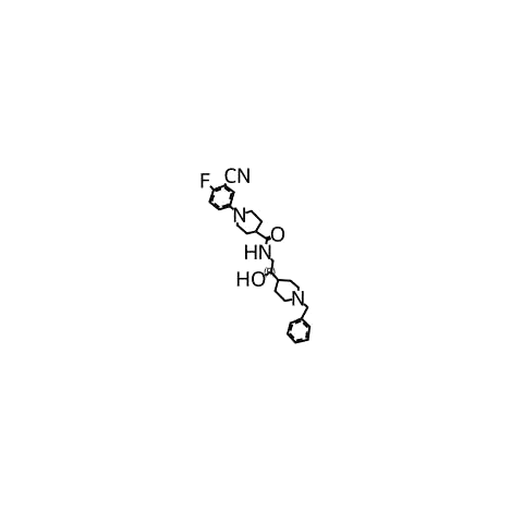 N#Cc1cc(N2CCC(C(=O)NC[C@H](O)C3CCN(Cc4ccccc4)CC3)CC2)ccc1F